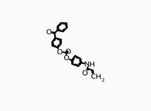 C=CC(=O)Nc1ccc(OC(=O)Oc2ccc(C(=O)c3ccccc3)cc2)cc1